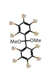 COC(OC)(c1c(Br)c(Br)c(Br)c(Br)c1Br)c1c(Br)c(Br)c(Br)c(Br)c1Br